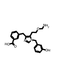 NCOCCc1c(Cc2cccc(C(=O)O)c2)ncn1Cc1cccc(O)c1